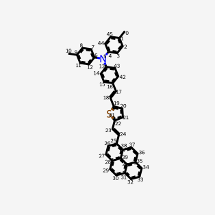 Cc1ccc(N(c2ccc(C)cc2)c2ccc(C=Cc3ccc(C=Cc4ccc5ccc6cccc7ccc4c5c67)s3)cc2)cc1